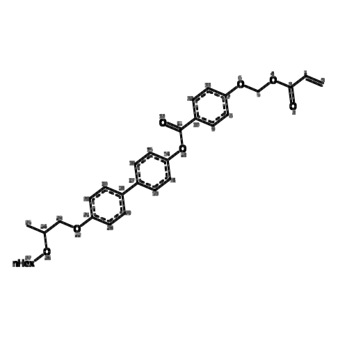 C=CC(=O)OCOc1ccc(C(=O)Oc2ccc(-c3ccc(OCC(C)OCCCCCC)cc3)cc2)cc1